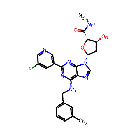 CNC(=O)[C@H]1O[C@@H](n2cnc3c(NCc4cccc(C)c4)nc(-c4cncc(F)c4)nc32)C[C@@H]1O